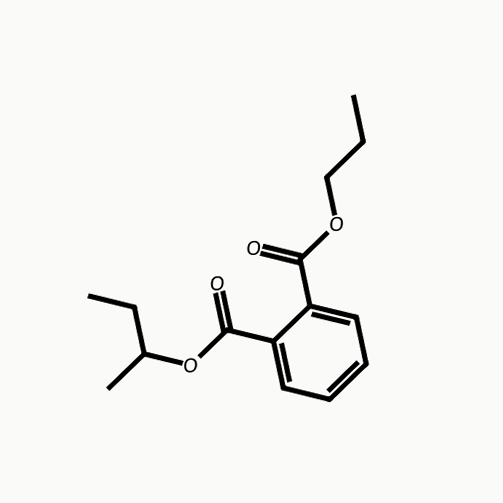 CCCOC(=O)c1ccccc1C(=O)OC(C)CC